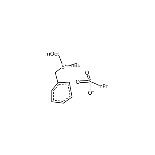 CCCCCCCC[S+](CCCC)Cc1ccccc1.CCCS(=O)(=O)[O-]